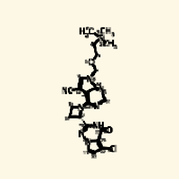 C[Si](C)(C)CCOCn1cc(C#N)c2c(N3CC[C@H]3c3nn4ccc(Cl)c4c(=O)[nH]3)ncnc21